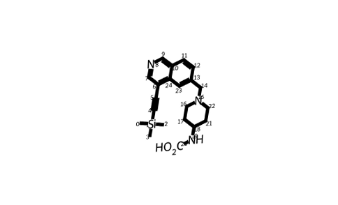 C[Si](C)(C)C#Cc1cncc2ccc(CN3CCC(NC(=O)O)CC3)cc12